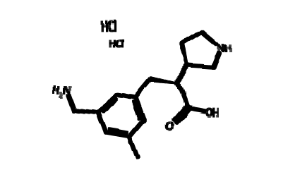 Cc1cc(CN)cc(C[C@H](C(=O)O)[C@H]2CCNC2)c1.Cl.Cl